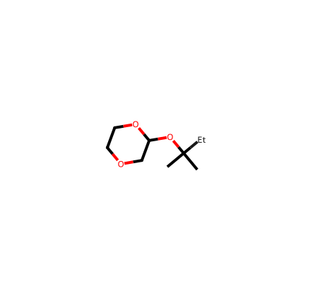 CCC(C)(C)OC1COCCO1